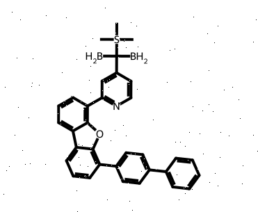 BC(B)(c1ccnc(-c2cccc3c2oc2c(-c4ccc(-c5ccccc5)cc4)cccc23)c1)S(C)(C)C